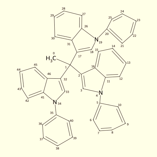 CC(c1cn(-c2ccccc2)c2ccccc12)(c1cn(-c2ccccc2)c2ccccc12)c1cn(-c2ccccc2)c2ccccc12